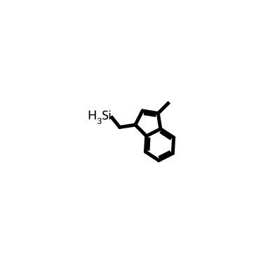 CC1=CC(C[SiH3])c2ccccc21